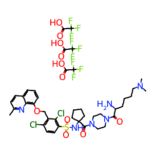 Cc1ccc2cccc(OCc3c(Cl)ccc(S(=O)(=O)NC4(C(=O)N5CCN(C(=O)[C@@H](N)CCCCN(C)C)CC5)CCCC4)c3Cl)c2n1.O=C(O)C(F)(F)F.O=C(O)C(F)(F)F.O=C(O)C(F)(F)F